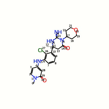 Cn1ccc(Nc2cccc([C@]3(C)CC(=O)N(C4CCOCC4)C(=N)N3)c2Cl)cc1=O